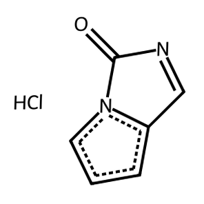 Cl.O=C1N=Cc2cccn21